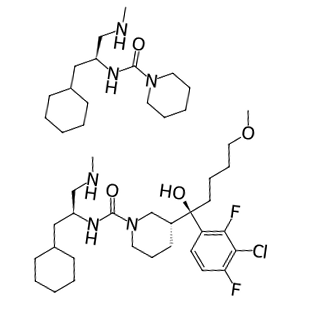 CNC[C@H](CC1CCCCC1)NC(=O)N1CCCCC1.CNC[C@H](CC1CCCCC1)NC(=O)N1CCC[C@@H]([C@](O)(CCCCOC)c2ccc(F)c(Cl)c2F)C1